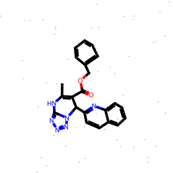 CC1=C(C(=O)OCc2ccccc2)C(c2ccc3ccccc3n2)n2nnnc2N1